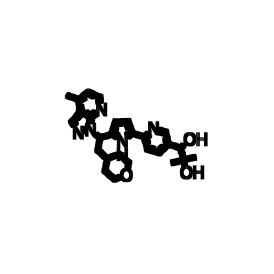 Cc1ccnc2c1cnn2C(CC1CCOCC1)c1ccc(-c2ccc(C(O)C(C)(C)O)cn2)[nH]1